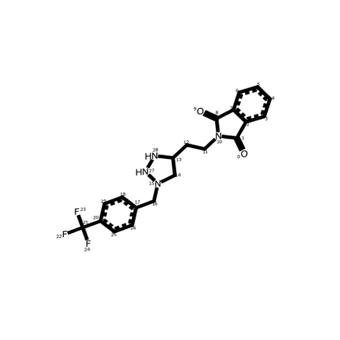 O=C1c2ccccc2C(=O)N1CCC1CN(Cc2ccc(C(F)(F)F)cc2)NN1